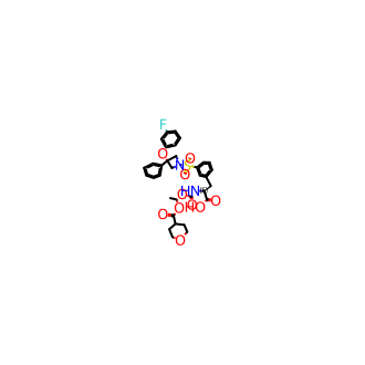 CC(OC(=O)N[C@@H](Cc1cccc(S(=O)(=O)N2CC(Oc3cccc(F)c3)(c3ccccc3)C2)c1)C(=O)O)OC(=O)C1CCOCC1